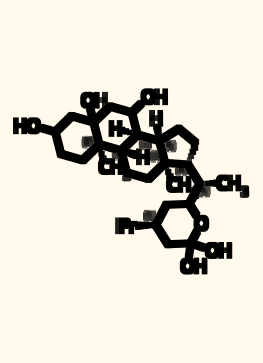 CC(C)[C@H]1CC([C@@H](C)[C@H]2CC[C@H]3[C@@H]4C(O)CC5(O)CC(O)CC[C@]5(C)[C@H]4CC[C@]23C)OC(O)(O)C1